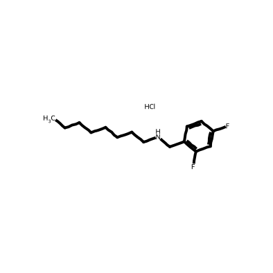 CCCCCCCCNCc1ccc(F)cc1F.Cl